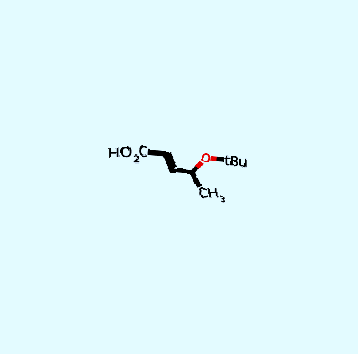 CC(C=CC(=O)O)OC(C)(C)C